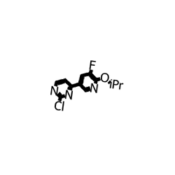 CC(C)Oc1ncc(-c2ccnc(Cl)n2)cc1F